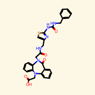 O=C(O)CN1c2ccccc2C(=O)N(CC(=O)NCc2csc(NC(=O)NCc3ccccc3)n2)c2ccccc21